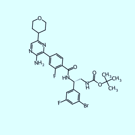 CC(C)(C)OC(=O)NC[C@@H](NC(=O)c1ccc(-c2nc(C3CCOCC3)cnc2N)cc1F)c1cc(F)cc(Br)c1